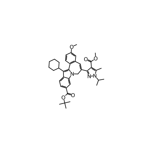 COC(=O)c1c(C2=Cc3cc(OC)ccc3-c3c(C4CCCCC4)c4ccc(C(=O)OC(C)(C)C)cc4n3C2)nn(C(C)C)c1C